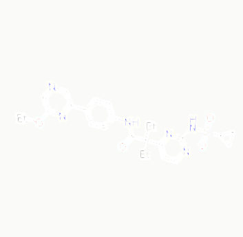 CCOc1cncc(-c2ccc(NC(=O)C(CC)(CC)c3ccnc(NS(=O)(=O)C4CC4)n3)cc2)n1